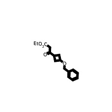 CCOC(=O)CC(=O)C1CC(OCc2ccccc2)C1